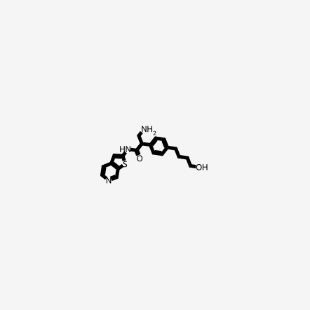 NCC(C(=O)Nc1cc2ccncc2s1)c1ccc(CCCCO)cc1